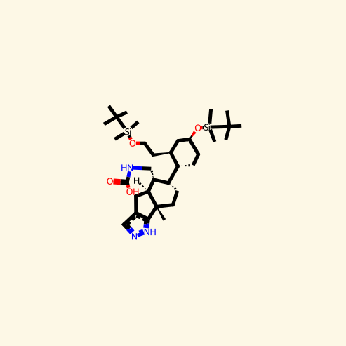 CC(C)(C)[Si](C)(C)OCC[C@H]1C[C@@H](O[Si](C)(C)C(C)(C)C)CC[C@@H]1[C@@H]1CC[C@]2(C)c3[nH]ncc3C[C@H]2[C@@H]1CNC(=O)O